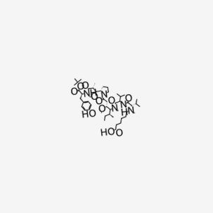 CC[C@H](C)[C@@H]([C@@H](CC(=O)N1CCC[C@H]1[C@H](OC)[C@@H](C)C(=O)N[C@@H](Cc1ccc(O)cc1)C(=O)OC(C)(C)C)OC)N(C)C(=O)[C@@H](NC(=O)[C@H](C(C)C)N(C)CCCCCC(=O)O)C(C)C